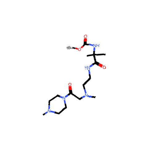 CN1CCN(C(=O)CN(C)CCNC(=O)C(C)(C)NC(=O)OC(C)(C)C)CC1